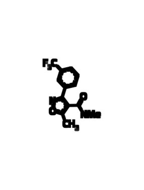 CNC(=O)c1c(-c2cccc(C(F)(F)F)c2)noc1C